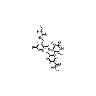 CCNC(=O)NCc1cc(F)ccc1COc1c(-c2cc(C(=O)NC)ccc2C)c(C)[nH]c(=O)c1Br